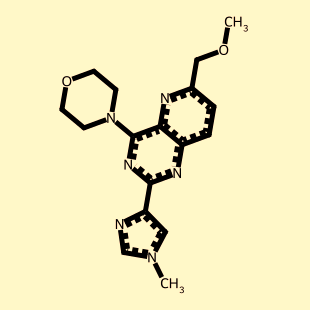 COCc1ccc2nc(-c3cn(C)cn3)nc(N3CCOCC3)c2n1